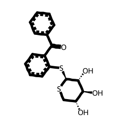 O=C(c1ccccc1)c1ccccc1S[C@@H]1SC[C@@H](O)[C@H](O)[C@H]1O